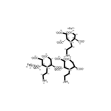 NCCN([C@@H](CC(=O)[O-])C(=O)[O-])[C@@H](CC(=O)[O-])C(=O)[O-].NCCN([C@@H](CC(=O)[O-])C(=O)[O-])[C@@H](CC(=O)[O-])C(=O)[O-].NCCN([C@@H](CC(=O)[O-])C(=O)[O-])[C@@H](CC(=O)[O-])C(=O)[O-].[Fe+3].[Fe+3].[Fe+3].[Fe+3]